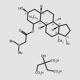 CCC(C)N(CC(=O)OC1C[C@@H](O)C[C@@H]2CC[C@H]3[C@@H]4CC[C@H](C(C)=O)[C@@]4(C)CC[C@@H]3[C@@]12C)C(C)CC.O=C(O)CC(O)(CC(=O)O)C(=O)O